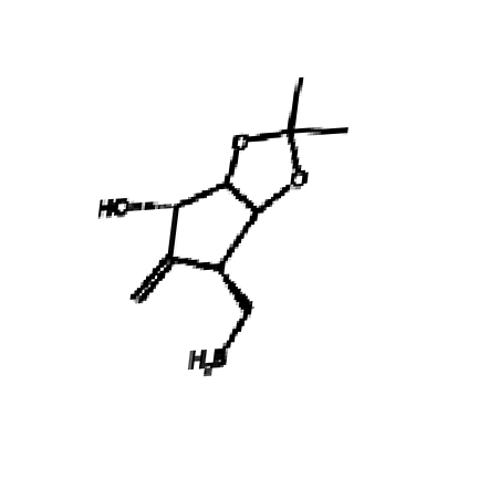 BC[C@H]1C(=C)[C@H](O)C2OC(C)(C)OC21